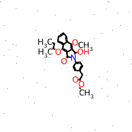 CCOC(=O)Cc1ccc(N2C(=O)c3c(c(OC)c4ccccc4c3OC(C)CC)C2O)cc1